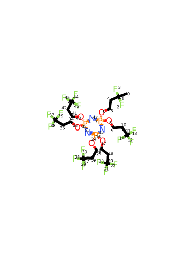 CC(F)(F)CCOP1(OCCC(F)(F)F)=NP(OCCC(F)(F)F)(OCCC(F)(F)F)=NP(OCCC(F)(F)F)(OCCC(F)(F)F)=N1